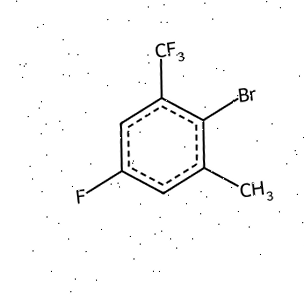 Cc1cc(F)cc(C(F)(F)F)c1Br